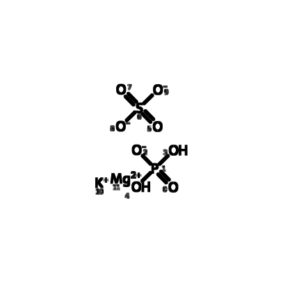 O=P([O-])(O)O.O=S(=O)([O-])[O-].[K+].[Mg+2]